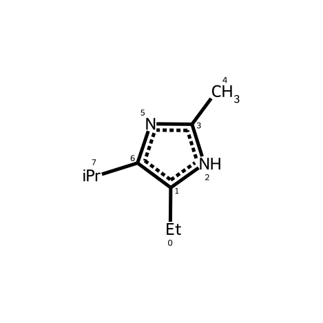 CCc1[nH]c(C)nc1C(C)C